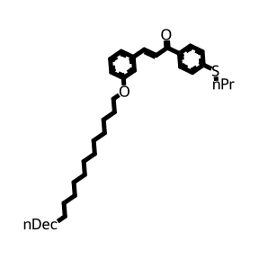 CCCCCCCCCCCCCCCCCCCCCCOc1cccc(C=CC(=O)c2ccc(SCCC)cc2)c1